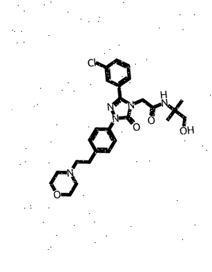 CC(C)(CO)NC(=O)Cn1c(-c2cccc(Cl)c2)nn(-c2ccc(CCN3CCOCC3)cc2)c1=O